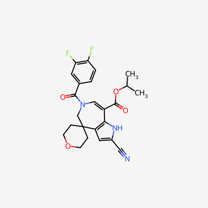 CC(C)OC(=O)C1=CN(C(=O)c2ccc(F)c(F)c2)CC2(CCOCC2)c2cc(C#N)[nH]c21